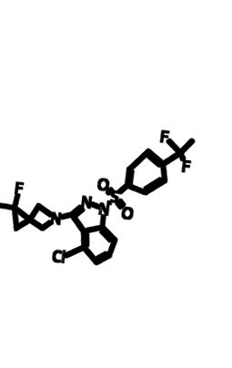 CC(F)(F)c1ccc(S(=O)(=O)n2nc(N3CC4(C3)CC4(F)F)c3c(Cl)cccc32)cc1